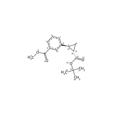 COC(=O)c1cccc([C@H]2C[C@@H]2C(=O)OC(C)(C)C)c1